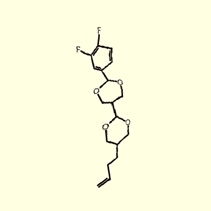 C=CCCC1COC(C2COC(c3ccc(F)c(F)c3)OC2)OC1